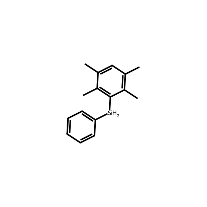 Cc1cc(C)c(C)c([SiH2]c2ccccc2)c1C